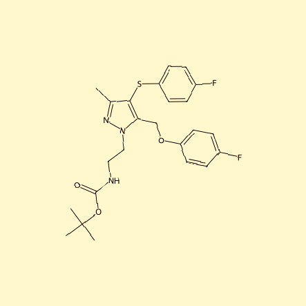 Cc1nn(CCNC(=O)OC(C)(C)C)c(COc2ccc(F)cc2)c1Sc1ccc(F)cc1